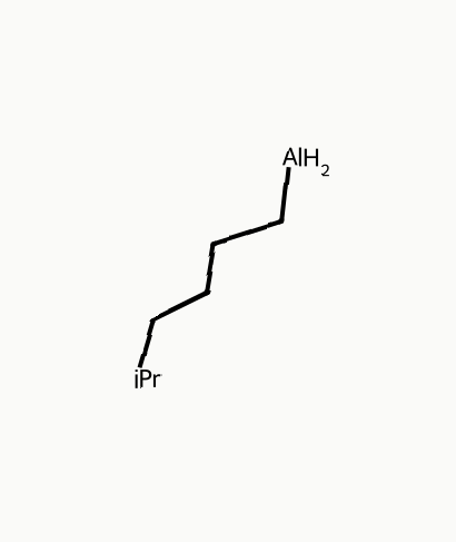 CC(C)CCC[CH2][AlH2]